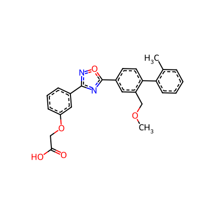 COCc1cc(-c2nc(-c3cccc(OCC(=O)O)c3)no2)ccc1-c1ccccc1C